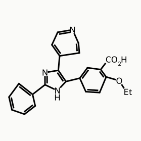 CCOc1ccc(-c2[nH]c(-c3ccccc3)nc2-c2ccncc2)cc1C(=O)O